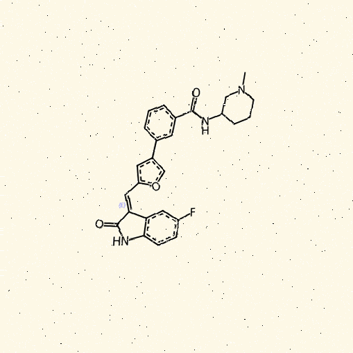 CN1CCCC(NC(=O)c2cccc(-c3coc(/C=C4/C(=O)Nc5ccc(F)cc54)c3)c2)C1